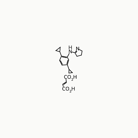 O=C(O)C=CC(=O)O.c1cc(C2CC2)c(NC2=NCCC2)cc1C1CC1